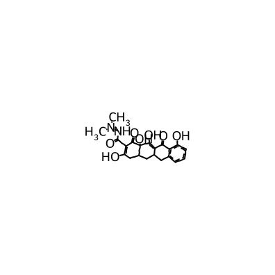 CN(C)NC(=O)C1=C(O)CC2CC3Cc4cccc(O)c4C(=O)C3=C(O)C2(O)C1=O